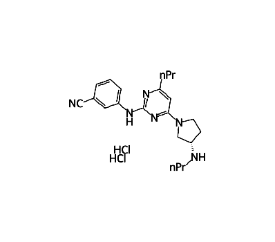 CCCN[C@H]1CCN(c2cc(CCC)nc(Nc3cccc(C#N)c3)n2)C1.Cl.Cl